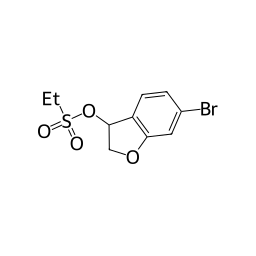 CCS(=O)(=O)OC1COc2cc(Br)ccc21